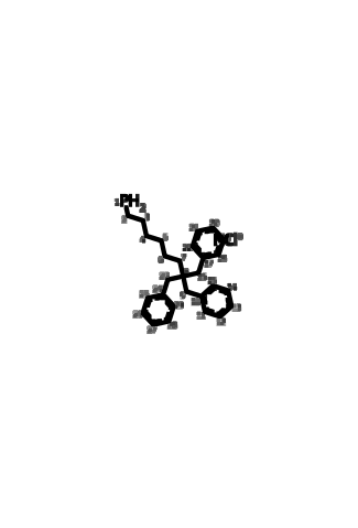 Cl.PCCCCCCC(Cc1ccccc1)(Cc1ccccc1)Cc1ccccc1